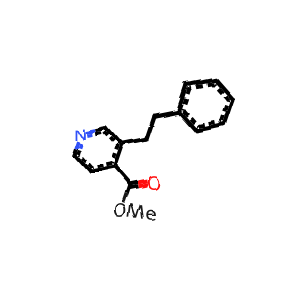 COC(=O)c1ccncc1CCc1ccccc1